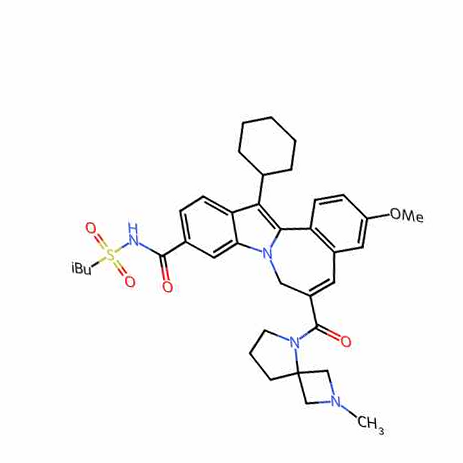 CCC(C)S(=O)(=O)NC(=O)c1ccc2c(C3CCCCC3)c3n(c2c1)CC(C(=O)N1CCCC12CN(C)C2)=Cc1cc(OC)ccc1-3